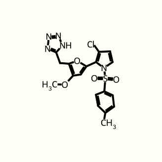 COc1cc(-c2c(Cl)ccn2S(=O)(=O)c2ccc(C)cc2)oc1Cc1nnn[nH]1